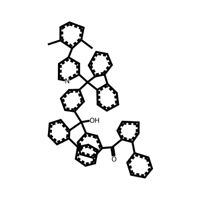 Cc1cccc(C)c1-c1ccnc(C2(c3cccc(C(O)(c4cccc(C(=O)c5ccccc5-c5ccccc5)c4)c4ccccc4-c4ccccc4)c3)c3ccccc3-c3ccccc32)c1